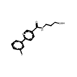 COCCCNC(=O)c1ccc(-c2cccc(F)c2)nc1